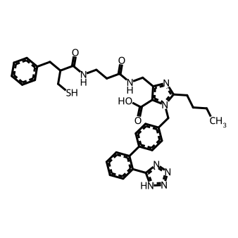 CCCCc1nc(CNC(=O)CCNC(=O)C(CS)Cc2ccccc2)c(C(=O)O)n1Cc1ccc(-c2ccccc2-c2nnn[nH]2)cc1